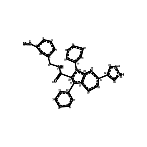 COc1cccc(CNC(=O)c2c(-c3ccccc3)c3ccc(-c4cn[nH]c4)nc3n2-c2ccccc2)c1